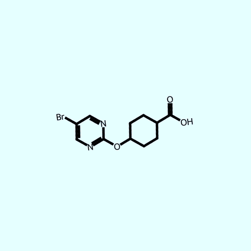 O=C(O)C1CCC(Oc2ncc(Br)cn2)CC1